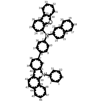 c1ccc(-n2c3cc(-c4ccc(N(c5ccc6ccccc6c5)c5cccc6c5oc5ccccc56)cc4)ccc3c3ccc4ccccc4c32)cc1